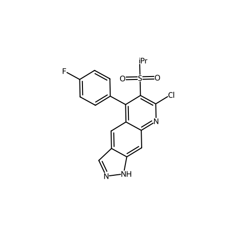 CC(C)S(=O)(=O)c1c(Cl)nc2cc3[nH]ncc3cc2c1-c1ccc(F)cc1